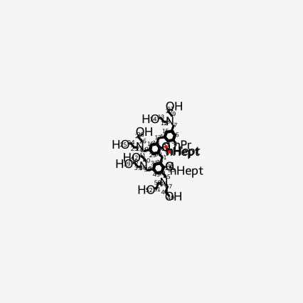 CCCCCCCOc1c(CCC)cc(CN(CCO)CCO)cc1Cc1cc(CN(CCO)CCO)cc(Cc2cc(CN(CCO)CCO)cc(CN(CCO)CCO)c2OCCCCCCC)c1OCCCCCCC